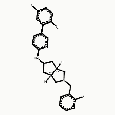 Fc1ccc(Cl)c(-c2ccc(NC3C[C@@H]4CN(Cc5ccccc5F)C[C@@H]4C3)nn2)c1